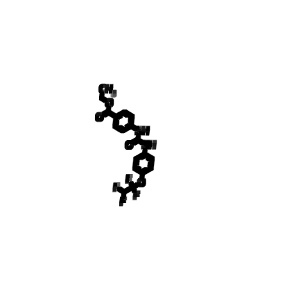 CCOC(=O)c1ccc(NC(=O)Nc2ccc(OC(F)(F)C(F)F)cc2)cc1